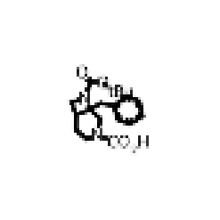 CC(C)(C)OC(=O)N1CC2CCN(C(=O)O)CC21Cc1ccccc1